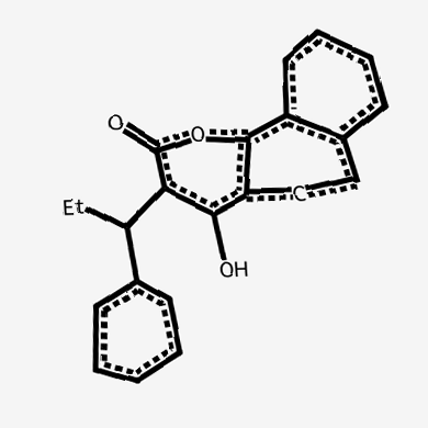 CCC(c1ccccc1)c1c(O)c2ccc3ccccc3c2oc1=O